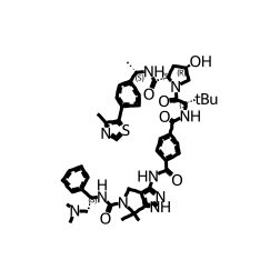 Cc1ncsc1-c1ccc([C@H](C)NC(=O)[C@@H]2C[C@@H](O)CN2C(=O)[C@@H](NC(=O)c2ccc(C(=O)Nc3n[nH]c4c3CN(C(=O)N[C@H](CN(C)C)c3ccccc3)C4(C)C)cc2)C(C)(C)C)cc1